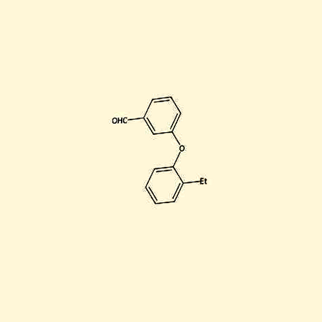 CCc1ccccc1Oc1cccc(C=O)c1